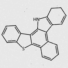 C1=Cc2c([nH]c3c2c2ccccc2c2sc4ccccc4c32)CC1